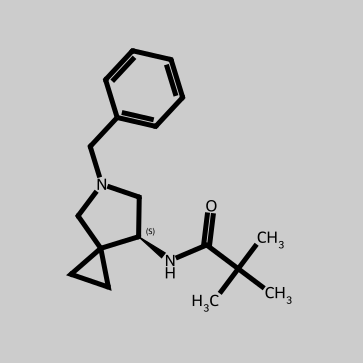 CC(C)(C)C(=O)N[C@@H]1CN(Cc2ccccc2)CC12CC2